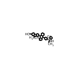 C#Cc1ccc2c(c1)C(C)(C)c1cc(-c3c4ccccc4c(-c4ccc5c(c4)Oc4cccc6c4N5C(CC)N6)c4ccccc34)ccc1-2